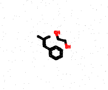 CC(C)=Cc1ccccc1.OCCO